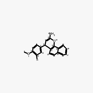 COc1ccc(C2C=C(N)Oc3c2ccc2ccccc32)cc1C